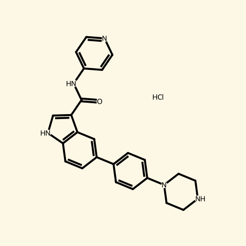 Cl.O=C(Nc1ccncc1)c1c[nH]c2ccc(-c3ccc(N4CCNCC4)cc3)cc12